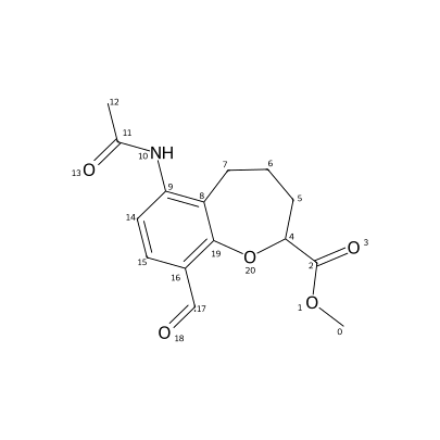 COC(=O)C1CCCc2c(NC(C)=O)ccc([C]=O)c2O1